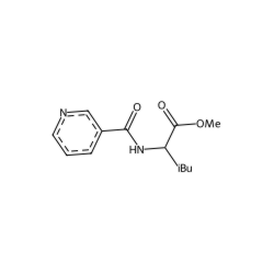 CCC(C)C(NC(=O)c1cccnc1)C(=O)OC